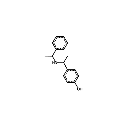 CC(NC(C)c1ccc(O)cc1)c1ccccc1